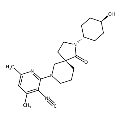 [C-]#[N+]c1c(C)cc(C)nc1N1CCC[C@]2(CCN([C@H]3CC[C@H](O)CC3)C2=O)C1